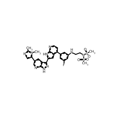 Cc1ncc(-c2cnc3[nH]nc(-c4cc5c(-c6cc(F)cc(NCCN(S(C)(=O)=O)S(C)(=O)=O)c6)ccnc5[nH]4)c3c2)n1C